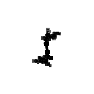 C=C1CC(c2nc(-c3ccc(C#Cc4ccc(-c5c[nH]c([C@@H]6CC(=C)CN6C(=O)[C@H](C(C)C)N(C)C(=O)O)n5)cc4)cc3)c[nH]2)N(C(=O)[C@@H](NC(=O)OC)C(C)C)C1